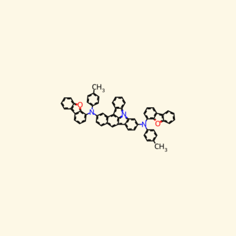 Cc1ccc(N(c2ccc3cc4c5ccc(N(c6ccc(C)cc6)c6cccc7c6oc6ccccc67)cc5n5c6ccccc6c(c3c2)c45)c2cccc3c2oc2ccccc23)cc1